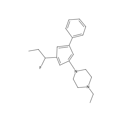 CCC(F)c1cc(-c2ccccc2)cc(N2CCN(CC)CC2)c1